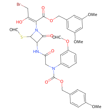 COc1ccc(COC(=O)N(CC(=O)NC2C(=O)N(C(C(=O)OCc3cc(OC)cc(OC)c3)=C(O)CBr)C2SC=O)c2cccc(OC=O)c2)cc1